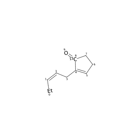 CC/C=C\CC1=CCC[13C]1=O